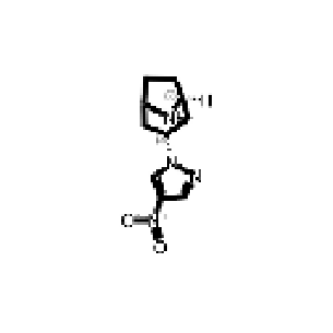 O=[N+]([O-])c1cnn([C@@H]2CC3CC[C@@H](C2)N3)c1